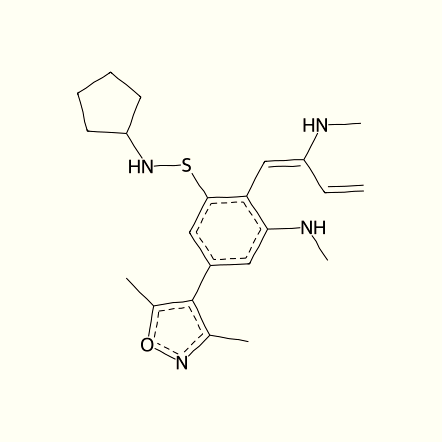 C=C/C(=C\c1c(NC)cc(-c2c(C)noc2C)cc1SNC1CCCC1)NC